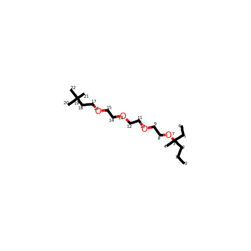 CCCC(C)(CC)OCCOCCOCCOCCC(C)(C)C